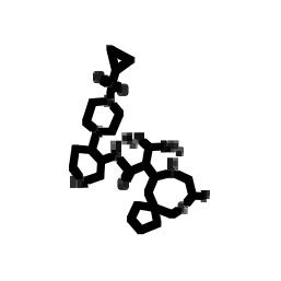 NC(N)C(C(=O)NC1CNCCC1N1CCN(S(=O)(=O)C2CC2)CC1)C1CC2(CCCC2)CCC(F)CN1